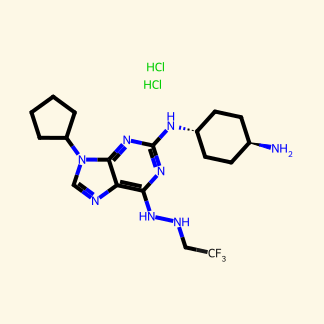 Cl.Cl.N[C@H]1CC[C@H](Nc2nc(NNCC(F)(F)F)c3ncn(C4CCCC4)c3n2)CC1